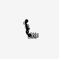 COc1cc(CN2CCN([n+]3cc([N-]C(=O)CSC(=O)c4ccccc4)on3)CC2)cc(OC)c1OC